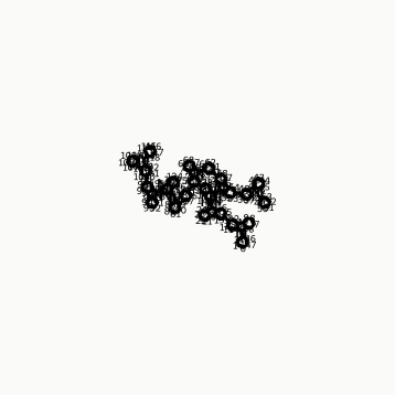 c1ccc(-n2c3ccccc3c3cc(-c4ccc5c(c4)c4ccccc4n5-c4nc(-n5c6ccc(-c7ccc8c(c7)c7ccccc7n8-c7ccccc7)cc6c6ccc(-c7cccc(-n8c9ccccc9c9cc(-c%10ccc%11c%12ccccc%12n(-c%12nc(-n%13c%14ccccc%14c%14ccc(-c%15ccc%16c(c%15)c%15ccccc%15n%16-c%15ccccc%15)cc%14%13)nc%13ccccc%12%13)c%11c%10)ccc98)c7)cc65)c5ccccc5n4)ccc32)cc1